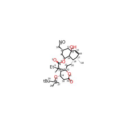 CCC(C)(C)C(=O)O[C@H]1C[C@@H](CN=O)C[C@]2(O)C=C[C@H](C)[C@H](CC[C@@H]3C[C@@H](O[Si](C)(C)C(C)(C)C)CC(=O)O3)C12